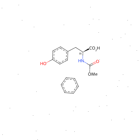 COC(=O)N[C@@H](Cc1ccc(O)cc1)C(=O)O.c1ccccc1